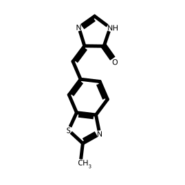 Cc1nc2ccc(C=C3N=CNC3=O)cc2s1